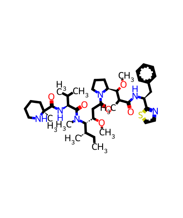 CC[C@H](C)[C@@H](C(CC(=O)N1CCC[C@H]1C(OC)C(C)C(=O)N[C@@H](Cc1ccccc1)c1nccs1)OC)N(C)C(=O)[C@@H](NC(=O)[C@]1(C)CCCCN1)C(C)C